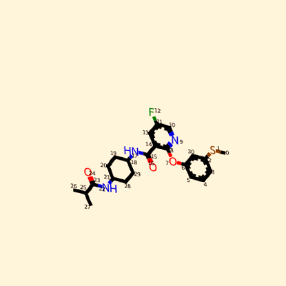 CSc1cccc(Oc2ncc(F)cc2C(=O)NC2CCC(NC(=O)C(C)C)CC2)c1